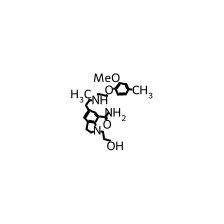 COc1cc(C)ccc1OCCN[C@H](C)Cc1cc2c(c(C(N)=O)c1)N(CCCO)CC2